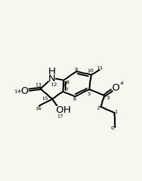 CCCC(=O)c1cc2c(cc1C)NC(=O)C2(C)O